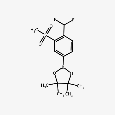 CC1(C)OB(c2ccc(C(F)F)c(S(C)(=O)=O)c2)OC1(C)C